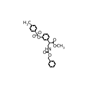 COC(=O)C(CNC(=O)OCc1ccccc1)c1cccc(OS(=O)(=O)c2ccc(C)cc2)c1